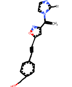 C=C(c1cc(C#Cc2ccc(CO)cc2)on1)n1ccnc1CC